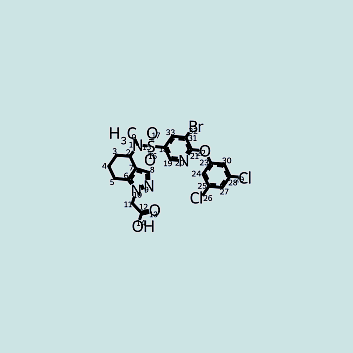 CN(C1CCCc2c1cnn2CC(=O)O)S(=O)(=O)c1cnc(Oc2cc(Cl)cc(Cl)c2)c(Br)c1